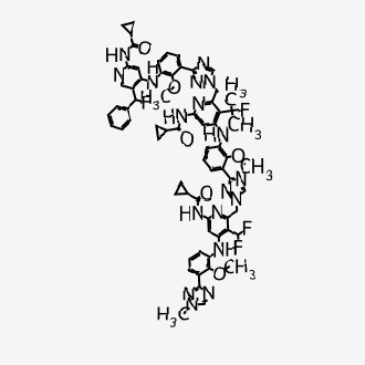 COc1c(Nc2cc(NC(=O)C3CC3)ncc2C(F)c2ccccc2)cccc1-c1ncn(Cc2nc(NC(=O)C3CC3)cc(Nc3cccc(-c4ncn(Cc5nc(NC(=O)C6CC6)cc(Nc6cccc(-c7ncn(C)n7)c6OC)c5C(F)F)n4)c3OC)c2C(C)(C)F)n1